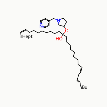 CCCC/C=C/C/C=C\CCCCCCCCC(O)(CCCCCCCC/C=C\CCCCCCC)OC1CCN(Cc2ccncc2)C1